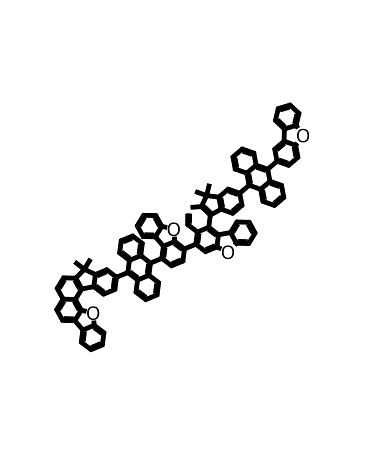 C=Cc1c(-c2ccc(-c3c4ccccc4c(-c4ccc5c(c4)C(C)(C)c4ccc6ccc7c8ccccc8oc7c6c4-5)c4ccccc34)c3c2oc2ccccc23)cc2oc3ccccc3c2c1C1=C(C)C(C)(C)c2cc(-c3c4ccccc4c(-c4ccc5oc6ccccc6c5c4)c4ccccc34)ccc21